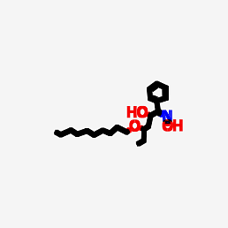 CCCCCCCCCCOC(CC)CC(O)C(=NO)c1ccccc1